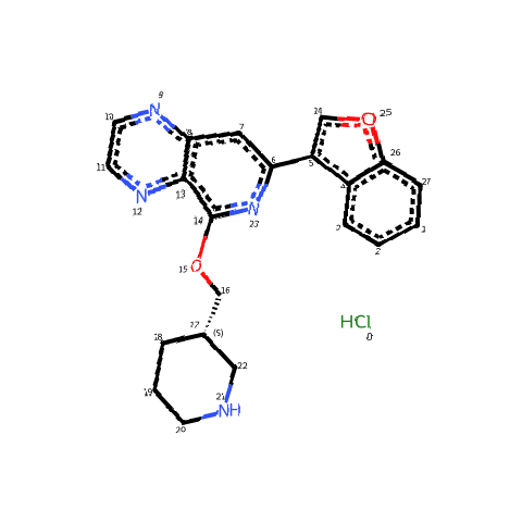 Cl.c1ccc2c(-c3cc4nccnc4c(OC[C@H]4CCCNC4)n3)coc2c1